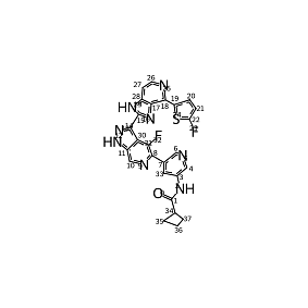 O=C(Nc1cncc(-c2ncc3[nH]nc(-c4nc5c(-c6ccc(F)s6)nccc5[nH]4)c3c2F)c1)C1CCC1